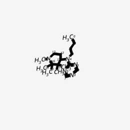 CCCCN(c1ncncn1)C1CCN(C)C(C)(C)C1(C)C